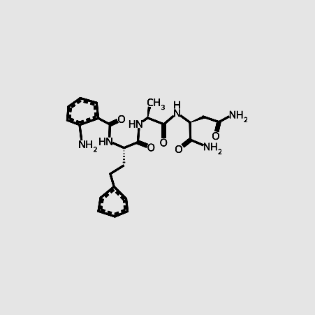 C[C@H](NC(=O)[C@H](CCc1ccccc1)NC(=O)c1ccccc1N)C(=O)N[C@@H](CC(N)=O)C(N)=O